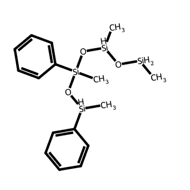 C[SiH2]O[SiH](C)O[Si](C)(O[SiH](C)c1ccccc1)c1ccccc1